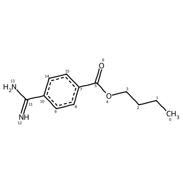 CCCCOC(=O)c1ccc(C(=N)N)cc1